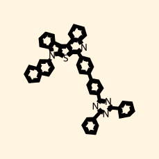 c1ccc(-c2nc(-c3ccccc3)nc(-c3ccc(-c4ccc(-c5nc6ccccc6c6c5sc5c6c6ccccc6n5-c5ccc6ccccc6c5)cc4)cc3)n2)cc1